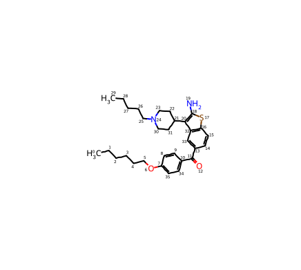 CCCCCCOc1ccc(C(=O)c2ccc3sc(N)c(C4CCN(CCCCC)CC4)c3c2)cc1